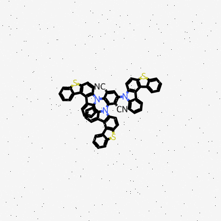 N#Cc1cc(-n2c3ccccc3c3c4c(ccc32)sc2ccccc24)c(C#N)c(-n2c3ccccc3c3c4c(ccc32)sc2ccccc24)c1-n1c2ccccc2c2c3c(ccc21)sc1ccccc13